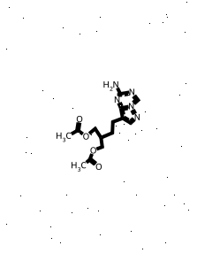 CC(=O)OCC(CCc1cnn2cnc(N)nc12)COC(C)=O